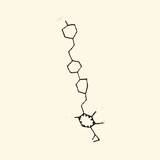 CCCC1CCC(CCC2CCC(C3CCC(CCc4c(C)cc(C5CO5)c(F)c4C(F)(F)F)CC3)CC2)CC1